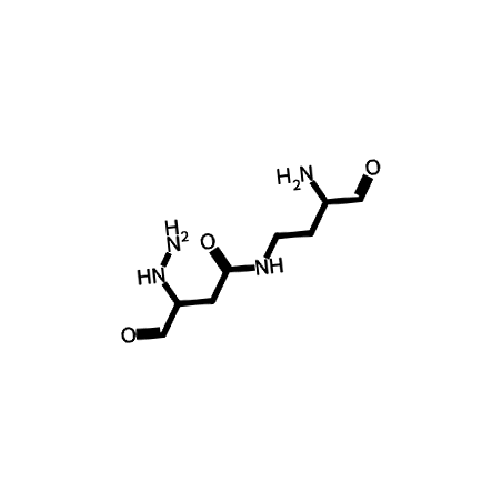 NNC(C=O)CC(=O)NCCC(N)C=O